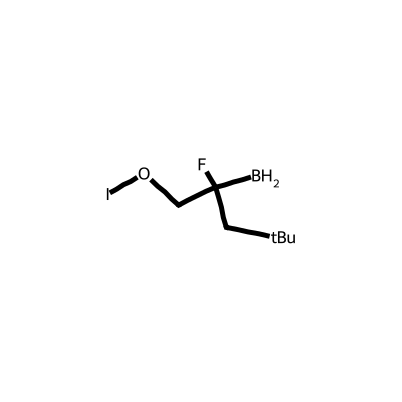 BC(F)(COI)CC(C)(C)C